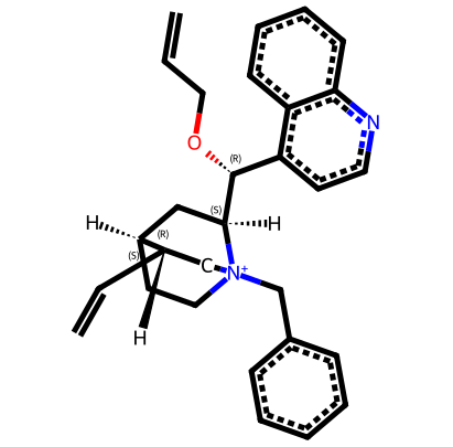 C=CCO[C@H](c1ccnc2ccccc12)[C@@H]1C[C@@H]2CC[N+]1(Cc1ccccc1)C[C@@H]2C=C